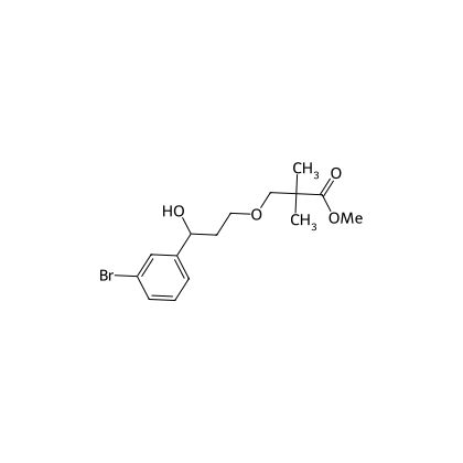 COC(=O)C(C)(C)COCCC(O)c1cccc(Br)c1